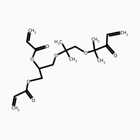 C=CC(=O)OCC(COC(C)(C)COC(C)(C)C(=O)C=C)OC(=O)C=C